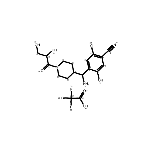 N#Cc1cc(O)c(C(N)C2CCN(C(=O)C(O)CO)CC2)cc1Cl.O=C(O)C(F)(F)F